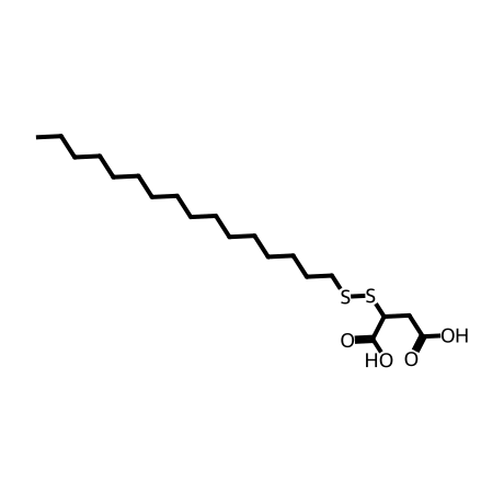 CCCCCCCCCCCCCCCCSSC(CC(=O)O)C(=O)O